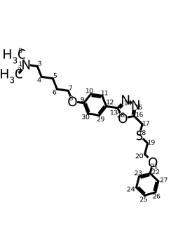 CN(C)CCCCCOc1ccc(-c2nnc(CSCCOc3ccccc3)o2)cc1